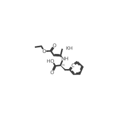 CCOC(=O)C=C(C)N[C@@H](Cc1ccccc1)C(=O)O.[KH]